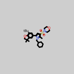 Cc1c(S(=O)(=O)N2CCOCC2)cc(-c2cc(C(C)(C)C)c3c(c2)C(C)(C)CO3)n1CC1CCCCC1